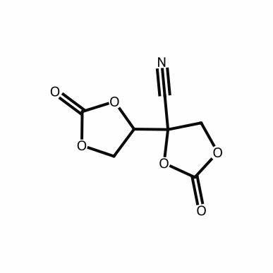 N#CC1(C2COC(=O)O2)COC(=O)O1